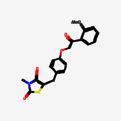 COc1ccccc1C(=O)COc1ccc(CC2SC(=O)N(C)C2=O)cc1